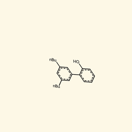 CCCCc1cc(CCCC)cc(-c2ccccc2O)c1